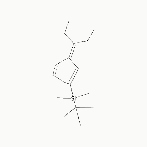 CCC(CC)=C1C=CC([Si](C)(C)C(C)(C)C)=C1